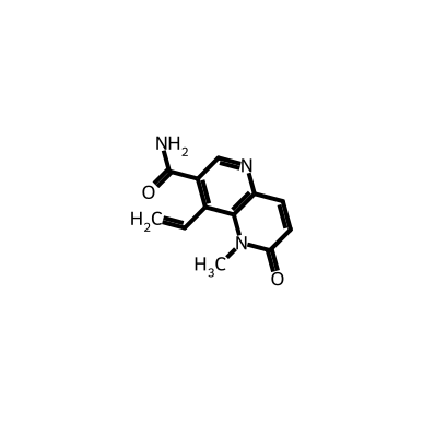 C=Cc1c(C(N)=O)cnc2ccc(=O)n(C)c12